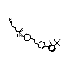 N#CCCCC(=O)NC1CCC(CCN2CC=C(c3cccc(C(F)(F)F)c3F)CC2)CC1